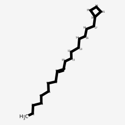 CCCCCCCC/C=C/CCCCCCCC[C]1CCC1